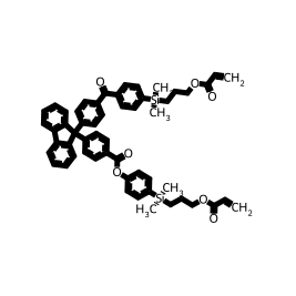 C=CC(=O)OCCC[Si](C)(C)c1ccc(OC(=O)c2ccc(C3(c4ccc(C(=O)c5ccc([Si](C)(C)CCCOC(=O)C=C)cc5)cc4)c4ccccc4-c4ccccc43)cc2)cc1